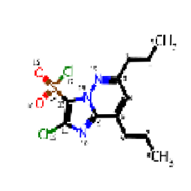 CCCc1cc(CCC)c2nc(Cl)c(S(=O)(=O)Cl)n2n1